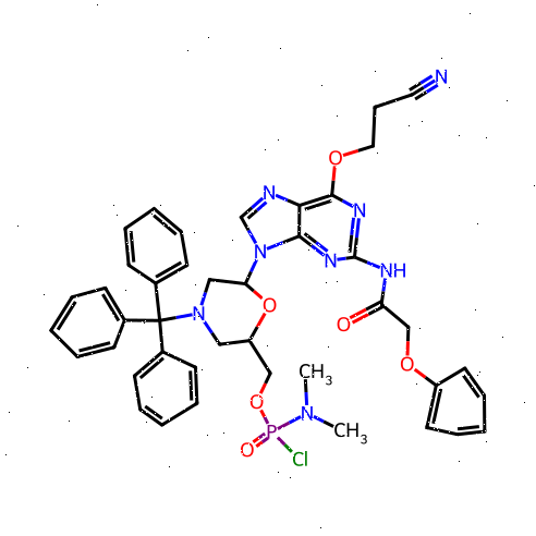 CN(C)P(=O)(Cl)OCC1CN(C(c2ccccc2)(c2ccccc2)c2ccccc2)CC(n2cnc3c(OCCC#N)nc(NC(=O)COc4ccccc4)nc32)O1